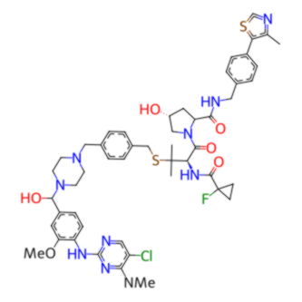 CNc1nc(Nc2ccc(C(O)N3CCN(Cc4ccc(CSC(C)(C)[C@H](NC(=O)C5(F)CC5)C(=O)N5C[C@H](O)CC5C(=O)NCc5ccc(-c6scnc6C)cc5)cc4)CC3)cc2OC)ncc1Cl